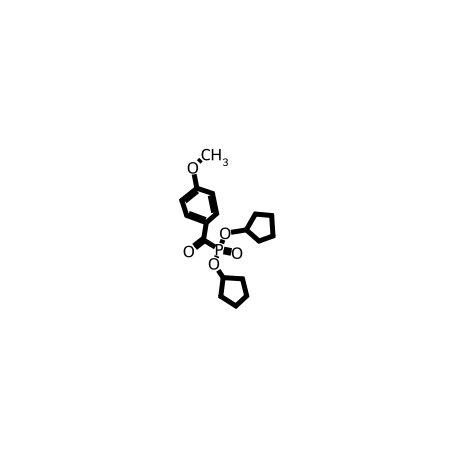 COc1ccc(C(=O)P(=O)(OC2CCCC2)OC2CCCC2)cc1